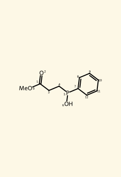 COC(=O)CCP(O)c1ccccc1